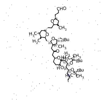 C=C1C[C@H](CCC=O)OC1CC[C@H]1C[C@@H](C)C(=C)C(C[C@@H]2O[C@H](C[C@H](C)CC)[C@H](C)[C@H]2CC(=O)CC2CC[C@@H]3O[C@@H]([C@H](/C=C/I)O[Si](C)(C)C(C)(C)C)[C@@H](O[Si](C)(C)C(C)(C)C)[C@@H](C)[C@H]3O2)O1